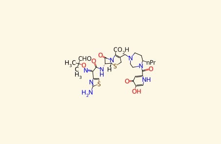 CCCC1CCN(CC2=C(C(=O)O)N3C(=O)[C@@H](NC(=O)/C(=N\OC(C)(C)C=O)c4csc(N)n4)[C@H]3SC2)CCN1C(=O)c1cc(=O)c(O)c[nH]1